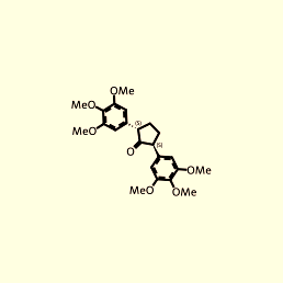 COc1cc([C@@H]2CC[C@@H](c3cc(OC)c(OC)c(OC)c3)C2=O)cc(OC)c1OC